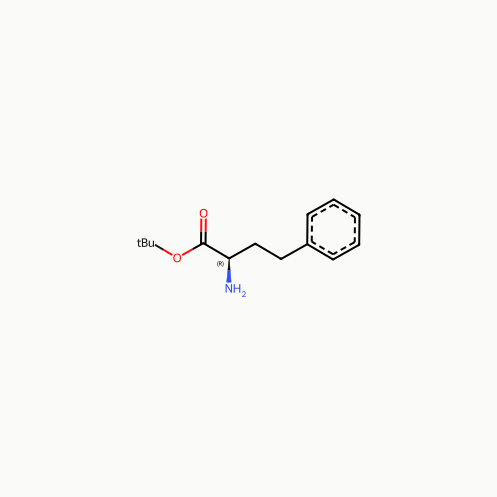 CC(C)(C)OC(=O)[C@H](N)CCc1ccccc1